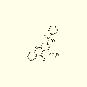 CCOC(=O)c1cc(S(=O)(=O)c2ccccc2)cc2sc3ccccc3c(=O)c12